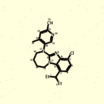 CCC(CC)c1ccc(Cl)c2nc3n(c12)CCCCN3c1cnc(C#N)cc1C